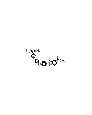 CC(=O)N1CCc2nc(-c3ccc(O[C@H]4C[C@H](N5CC[C@@H](N(C)C)C5)C4)cc3)sc2C1